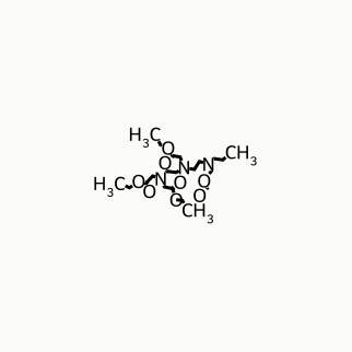 CCCN(CCN(CCN(CC(=O)OCC)CC(=O)OCC)CC(=O)OCC)COC=O